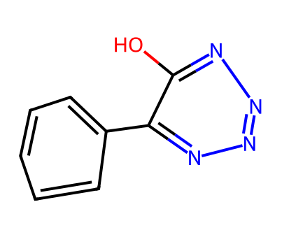 Oc1nnnnc1-c1ccccc1